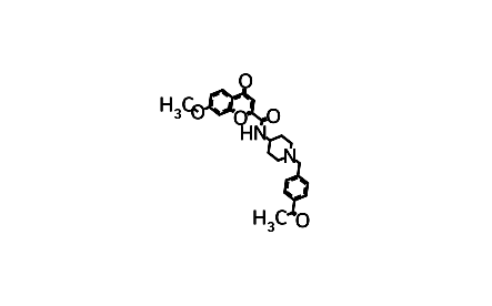 COc1ccc2c(=O)cc(C(=O)NC3CCN(Cc4ccc(C(C)=O)cc4)CC3)oc2c1